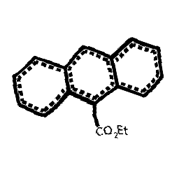 CCOC(=O)c1c2ccccc2cc2ccccc12